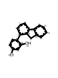 CCc1ccc(-c2cccc3c2Cc2ccccc2-3)c(O)c1